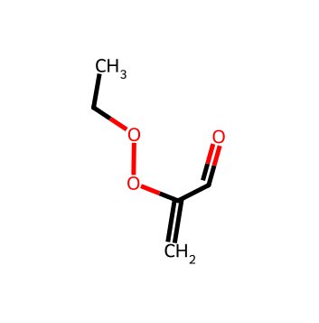 C=C(C=O)OOCC